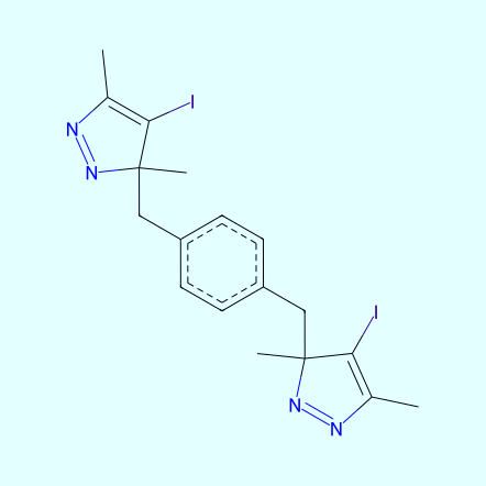 CC1=C(I)C(C)(Cc2ccc(CC3(C)N=NC(C)=C3I)cc2)N=N1